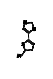 CC(C)c1ccc(-c2cnco2)s1